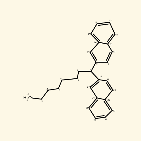 [CH2]CCCCCCC(c1ccc2ccccc2c1)c1ccc2ccccc2c1